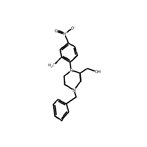 [CH2]c1cc([N+](=O)[O-])ccc1N1CCN(Cc2ccccc2)CC1CO